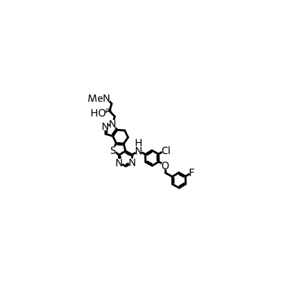 CNC[C@@H](O)Cn1ncc2c1CCc1c-2sc2ncnc(Nc3ccc(OCc4cccc(F)c4)c(Cl)c3)c12